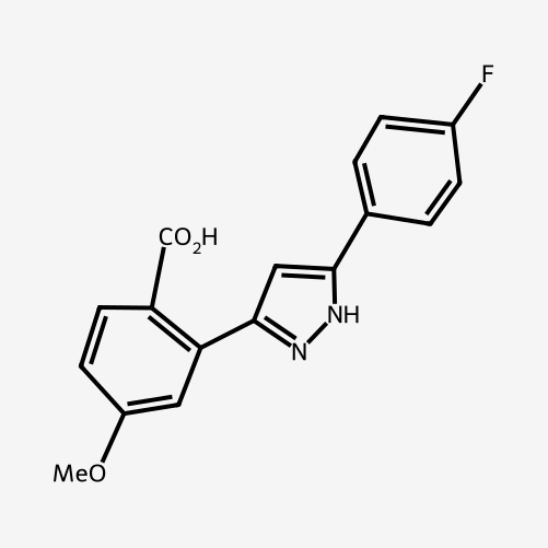 COc1ccc(C(=O)O)c(-c2cc(-c3ccc(F)cc3)[nH]n2)c1